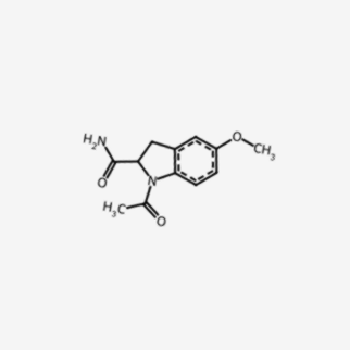 COc1ccc2c(c1)CC(C(N)=O)N2C(C)=O